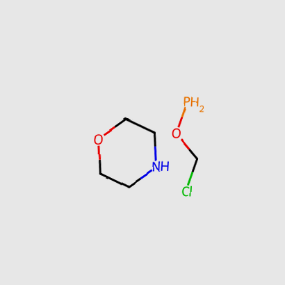 C1COCCN1.POCCl